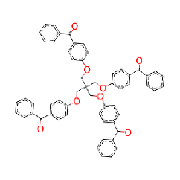 O=C(c1ccccc1)c1ccc(OCC(COc2ccc(C(=O)c3ccccc3)cc2)(COc2ccc(C(=O)c3ccccc3)cc2)COc2ccc(C(=O)c3ccccc3)cc2)cc1